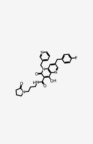 O=C(NCCCN1CCCC1=O)c1c(O)c2ncc(Cc3ccc(F)cc3)cc2n(Cc2cccnc2)c1=O